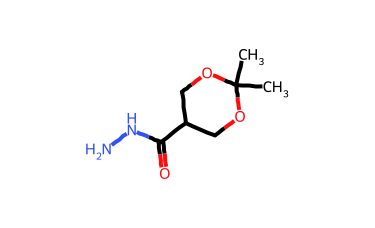 CC1(C)OCC(C(=O)NN)CO1